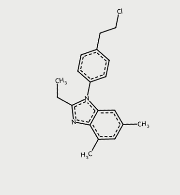 CCc1nc2c(C)cc(C)cc2n1-c1ccc(CCCl)cc1